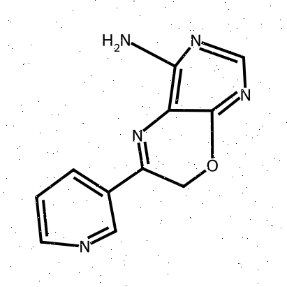 Nc1ncnc2c1N=C(c1cccnc1)CO2